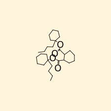 CCCCC1(OC(=O)C2CCCCC2C(=O)OC2(CCCC)CCCCC2)CCCCC1